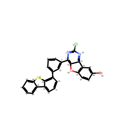 Clc1nc(-c2cccc(-c3cccc4c3sc3ccccc34)c2)c2oc3ccc(Br)cc3c2n1